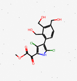 COC(=O)C(=O)c1[nH]c(Cl)c(-c2ccc(CO)c(CO)c2CO)c1Cl